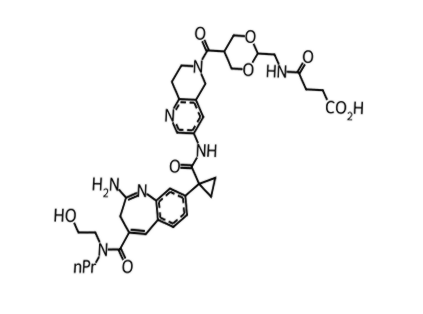 CCCN(CCO)C(=O)C1=Cc2ccc(C3(C(=O)Nc4cnc5c(c4)CN(C(=O)C4COC(CNC(=O)CCC(=O)O)OC4)CC5)CC3)cc2N=C(N)C1